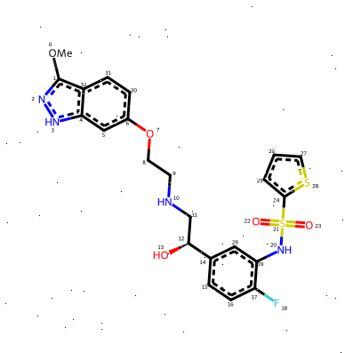 COc1n[nH]c2cc(OCCNC[C@H](O)c3ccc(F)c(NS(=O)(=O)c4cccs4)c3)ccc12